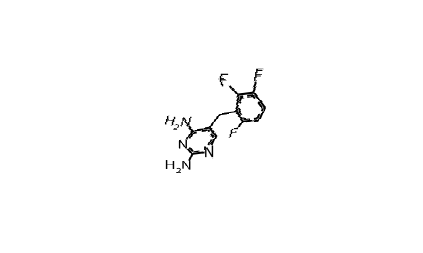 Nc1ncc(Cc2c(F)ccc(F)c2F)c(N)n1